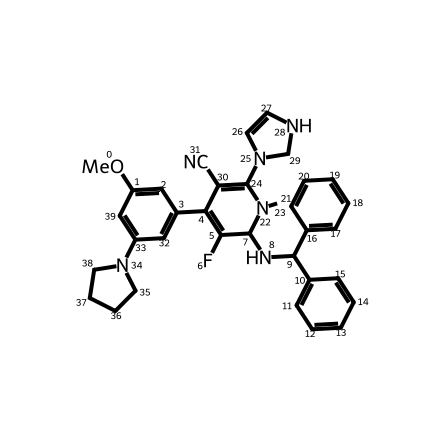 COc1cc(C2=C(F)C(NC(c3ccccc3)c3ccccc3)N(C)C(N3C=CNC3)=C2C#N)cc(N2CCCC2)c1